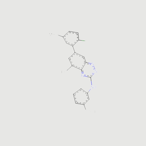 COc1ccc(Cl)c(-c2cc(C)c3nc(Nc4cccc(C(=O)O)c4)nnc3c2)c1